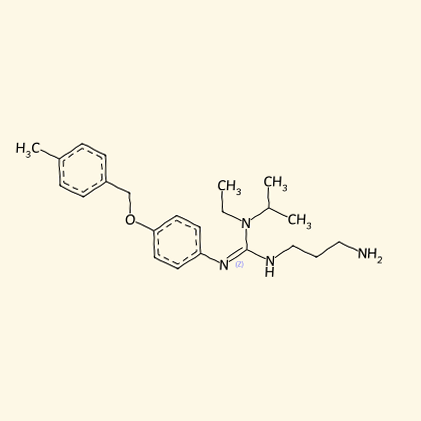 CCN(/C(=N\c1ccc(OCc2ccc(C)cc2)cc1)NCCCN)C(C)C